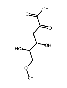 COC[C@@H](O)[C@@H](O)CC(=O)C(=O)O